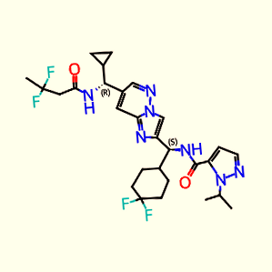 CC(C)n1nccc1C(=O)N[C@H](c1cn2ncc([C@H](NC(=O)CC(C)(F)F)C3CC3)cc2n1)C1CCC(F)(F)CC1